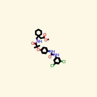 COC(=O)CC1(CNC(=O)C(C)(C)Oc2ccc(NC(=O)Nc3cc(Cl)cc(Cl)c3)cc2)CCCCC1